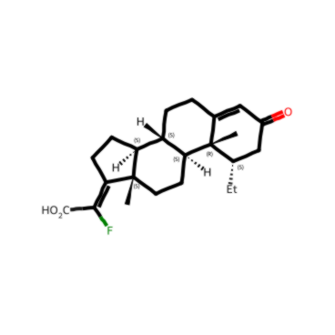 CC[C@H]1CC(=O)C=C2CC[C@@H]3[C@H](CC[C@]4(C)C(=C(F)C(=O)O)CC[C@@H]34)[C@]21C